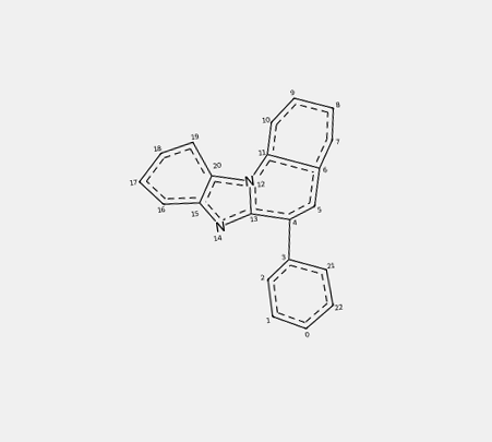 c1ccc(-c2cc3ccccc3n3c2nc2ccccc23)cc1